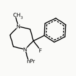 CCCN1CCN(C)CC1(F)c1ccccc1